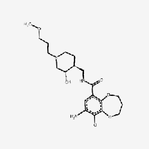 COCCCN1CC[C@@H](CNC(=O)c2cc(N)c(Cl)c3c2OCCCO3)[C@H](O)C1